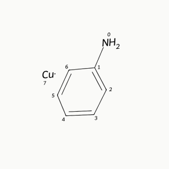 Nc1ccccc1.[Cu]